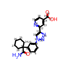 NC(=O)C1(c2cccc(-n3cc(-c4cc(C(=O)O)ccn4)nn3)c2)CCCCC1